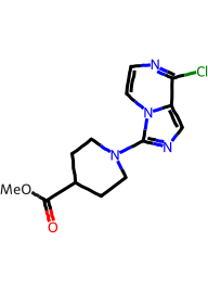 COC(=O)C1CCN(c2ncc3c(Cl)nccn23)CC1